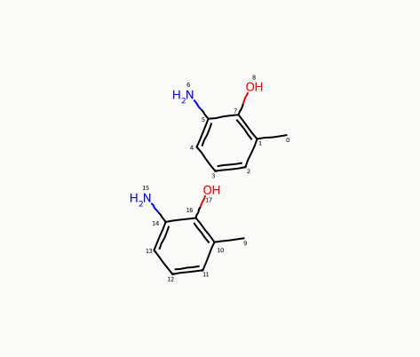 Cc1cccc(N)c1O.Cc1cccc(N)c1O